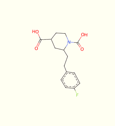 O=C(O)C1CCN(C(=O)O)C(CCc2ccc(F)cc2)C1